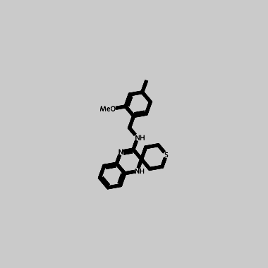 COC1=CC(C)CC=C1CNC1=Nc2ccccc2NC12CCSCC2